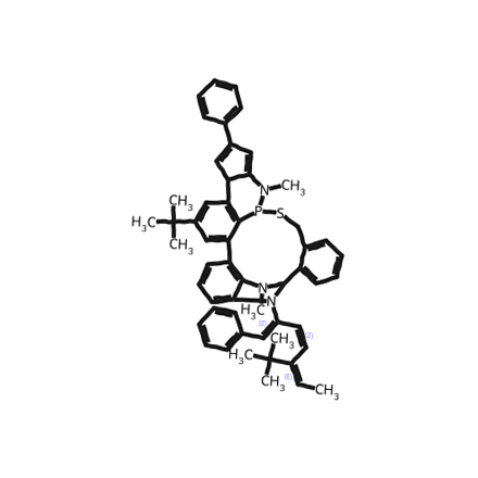 C\C=C(/C=C\C(=C\c1ccccc1)N1c2cccc3c2N(C)C1c1ccccc1CSP1c2c-3cc(C(C)(C)C)cc2C2C=C(c3ccccc3)C=C2N1C)C(C)(C)C